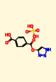 O=C(O)c1ccc(C(=O)Oc2c[nH]nn2)cc1.O=S(=O)(O)O